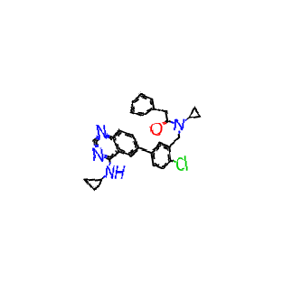 O=C(Cc1ccccc1)N(Cc1cc(-c2ccc3ncnc(NC4CC4)c3c2)ccc1Cl)C1CC1